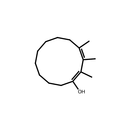 C/C1=C(C)/C(C)=C(/O)CCCCCCCC1